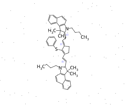 CCCCN1/C(=C/C=C2\CCC(/C=C/C3=[N+](CCCC)c4ccc5ccccc5c4C3(C)C)=C2Sc2ccccc2)C(C)(C)c2c1ccc1ccccc21